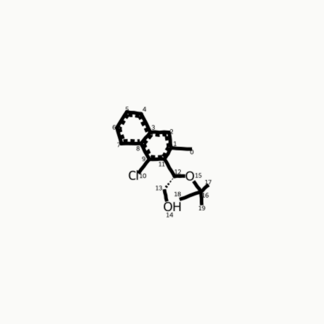 Cc1cc2ccccc2c(Cl)c1[C@@H](CO)OC(C)(C)C